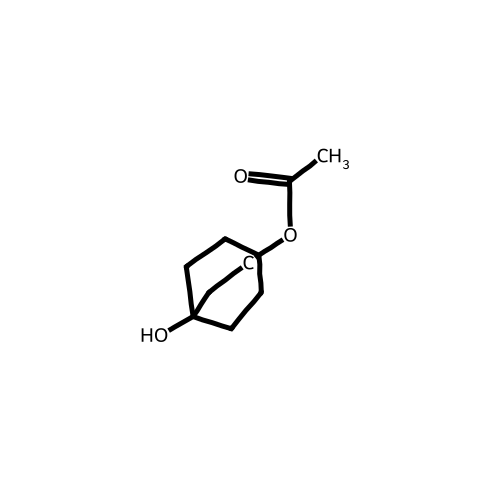 CC(=O)OC12CCC(O)(CC1)CC2